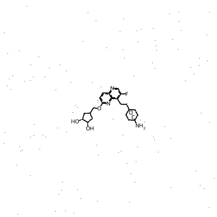 NC12CCC(CCc3c(F)cnc4ccc(OCC5C[C@@H](O)[C@@H](O)C5)nc34)(CC1)OC2